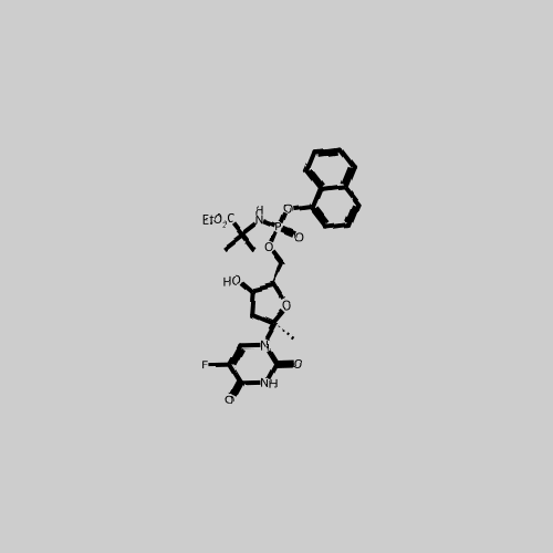 CCOC(=O)C(C)(C)NP(=O)(OC[C@H]1O[C@@](C)(n2cc(F)c(=O)[nH]c2=O)CC1O)Oc1cccc2ccccc12